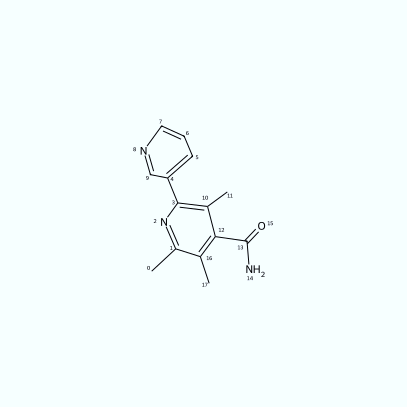 Cc1nc(-c2cccnc2)c(C)c(C(N)=O)c1C